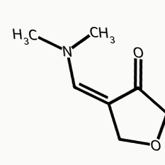 CN(C)C=C1COCC1=O